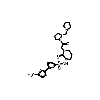 Cc1ccc(-c2ccc(S(=O)(=O)N[C@H]3CCCN(CC(=O)N4CCC[C@H]4CN4CCCC4)C3=O)s2)s1